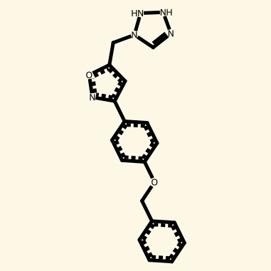 C1=NNNN1Cc1cc(-c2ccc(OCc3ccccc3)cc2)no1